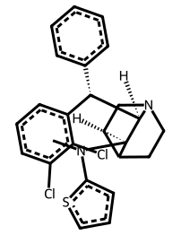 CN(c1cccs1)[C@@H]1C2CCN(CC2)[C@@H]1[C@@H](c1ccccc1)c1cccc(Cl)c1Cl